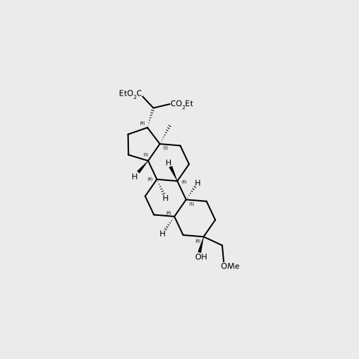 CCOC(=O)C(C(=O)OCC)[C@H]1CC[C@H]2[C@@H]3CC[C@@H]4C[C@@](O)(COC)CC[C@@H]4[C@H]3CC[C@]12C